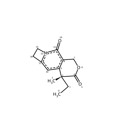 CC[C@@]1(C)C(=O)OCc2c1cc1n(c2=O)CC1